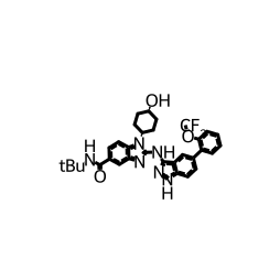 CC(C)(C)NC(=O)c1ccc2c(c1)nc(Nc1n[nH]c3ccc(-c4ccccc4OC(F)(F)F)cc13)n2[C@H]1CC[C@@H](O)CC1